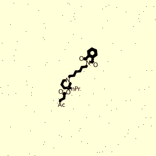 CCCC1(OC(=O)CCC(C)=O)CCCN(CCCCCCN2C(=O)c3ccccc3C2=O)C1